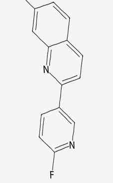 Cc1ccc2ccc(-c3ccc(F)nc3)nc2c1